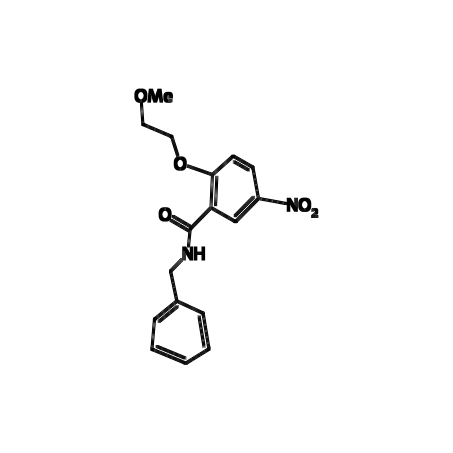 COCCOc1ccc([N+](=O)[O-])cc1C(=O)NCc1ccccc1